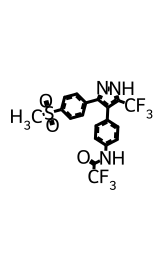 CS(=O)(=O)c1ccc(-c2n[nH]c(C(F)(F)F)c2-c2ccc(NC(=O)C(F)(F)F)cc2)cc1